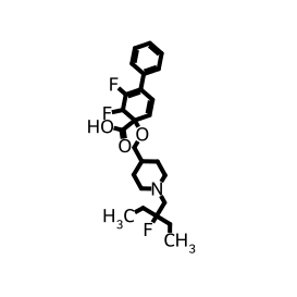 CCC(F)(CC)CN1CCC(COC2(C(=O)O)C=CC(c3ccccc3)=C(F)C2F)CC1